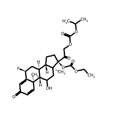 CCOC(=O)O[C@]1(C(=O)COC(=O)OC(C)C)CC[C@H]2[C@@H]3C[C@H](F)C4=CC(=O)C=C[C@]4(C)[C@H]3C(O)C[C@@]21C